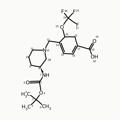 CC(C)(C)OC(=O)N[C@H]1CCCN(CC2=CC=C(C(=O)O)CC2OC(F)(F)F)C1